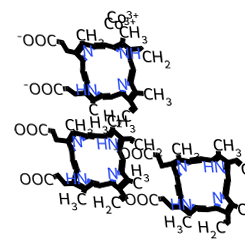 C=CC1=C(C)c2cc3[nH]c(cc4nc(cc5[nH]c(cc1n2)c(C)c5CCC(=O)[O-])C(CCC(=O)[O-])=C4C)c(C)c3C=C.C=CC1=C(C)c2cc3[nH]c(cc4nc(cc5[nH]c(cc1n2)c(C)c5CCC(=O)[O-])C(CCC(=O)[O-])=C4C)c(C)c3C=C.C=CC1=C(C)c2cc3[nH]c(cc4nc(cc5[nH]c(cc1n2)c(C)c5CCC(=O)[O-])C(CCC(=O)[O-])=C4C)c(C)c3C=C.[Co+3].[Co+3]